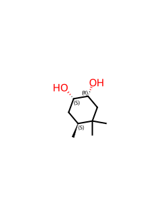 C[C@H]1C[C@H](O)[C@H](O)CC1(C)C